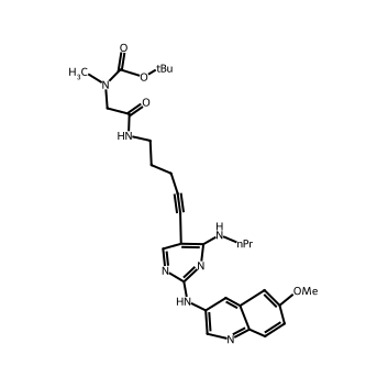 CCCNc1nc(Nc2cnc3ccc(OC)cc3c2)ncc1C#CCCCNC(=O)CN(C)C(=O)OC(C)(C)C